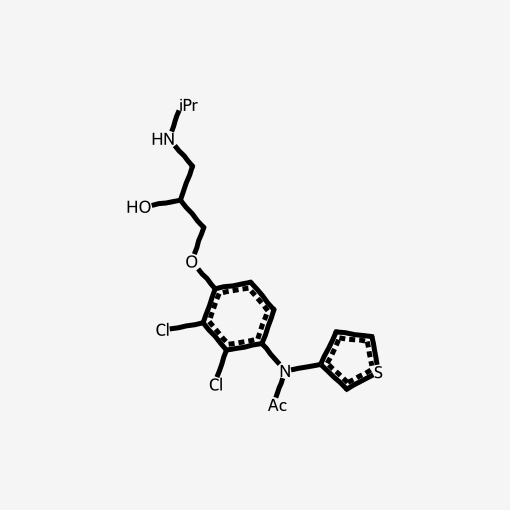 CC(=O)N(c1ccsc1)c1ccc(OCC(O)CNC(C)C)c(Cl)c1Cl